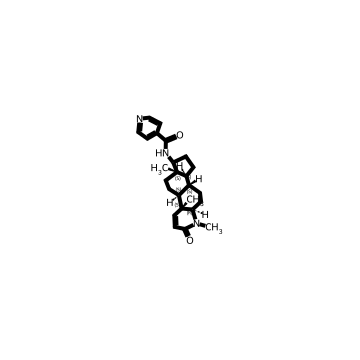 CN1C(=O)C=C[C@]2(C)[C@H]3CC[C@]4(C)C(NC(=O)c5ccncc5)CC[C@H]4[C@@H]3CC[C@@H]12